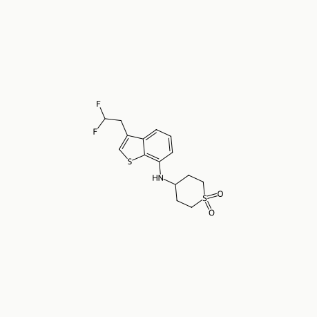 O=S1(=O)CCC(Nc2cccc3c(CC(F)F)csc23)CC1